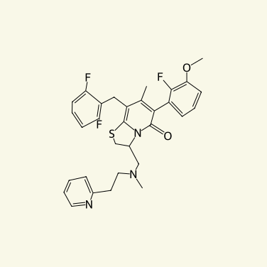 COc1cccc(-c2c(C)c(Cc3c(F)cccc3F)c3n(c2=O)C(CN(C)CCc2ccccn2)CS3)c1F